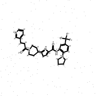 O=C(Nc1cc(C(F)(F)F)ccc1N1CCCC1)C1=CCC(C2CCN(C(=O)CCc3cccnc3)CC2)=N1